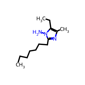 CCCCCCCc1nc(C)c(CC)n1N